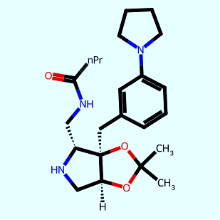 CCCC(=O)NC[C@H]1NC[C@@H]2OC(C)(C)O[C@@]21Cc1cccc(N2CCCC2)c1